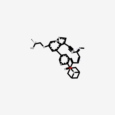 C=C(/C=C\C(=N/C)OC)C(=O)N1C2CC1CN(c1ccc(-c3cc(OC[C@@H](C)O)cn4ncc(C#N)c34)cn1)C2